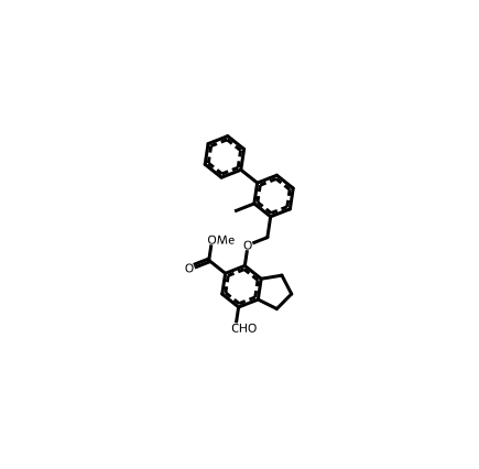 COC(=O)c1cc(C=O)c2c(c1OCc1cccc(-c3ccccc3)c1C)CCC2